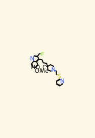 COc1ccc2ncc(CF)c(CCCC3(C(=O)O)CCN(CCSc4ccccn4)CC3)c2c1